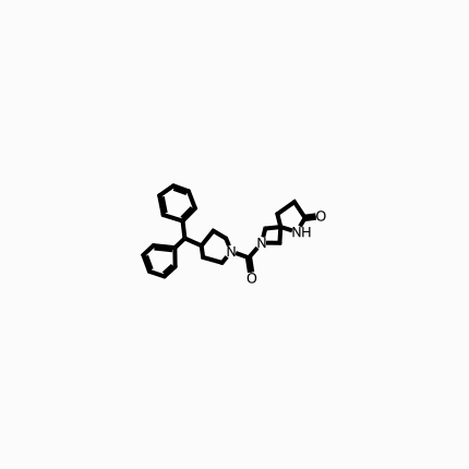 O=C1CCC2(CN(C(=O)N3CCC(C(c4ccccc4)c4ccccc4)CC3)C2)N1